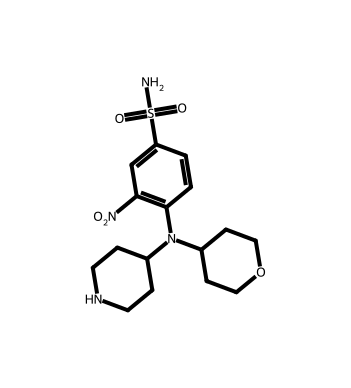 NS(=O)(=O)c1ccc(N(C2CCNCC2)C2CCOCC2)c([N+](=O)[O-])c1